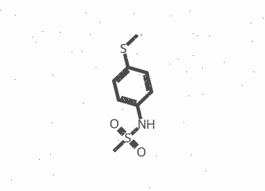 [CH2]Sc1ccc(NS(C)(=O)=O)cc1